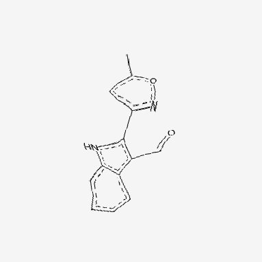 Cc1cc(-c2[nH]c3ccccc3c2C=O)no1